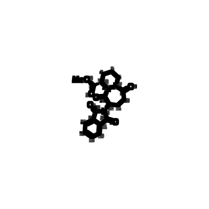 COC(=O)[C@@H]1CCCN2C(=O)CCC(N3C(=O)c4ccccc4C3=O)C(=O)N12